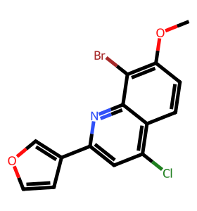 COc1ccc2c(Cl)cc(-c3ccoc3)nc2c1Br